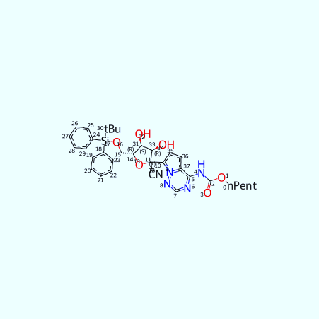 CCCCCOC(=O)Nc1ncnn2c([C@]3(C#N)O[C@H](CO[Si](c4ccccc4)(c4ccccc4)C(C)(C)C)[C@@H](O)[C@H]3O)ccc12